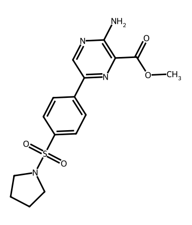 COC(=O)c1nc(-c2ccc(S(=O)(=O)N3CCCC3)cc2)cnc1N